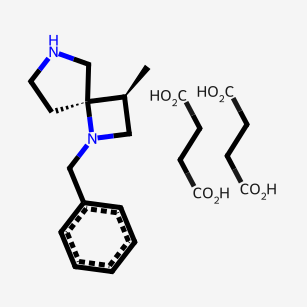 C[C@H]1CN(Cc2ccccc2)[C@]12CCNC2.O=C(O)CCC(=O)O.O=C(O)CCC(=O)O